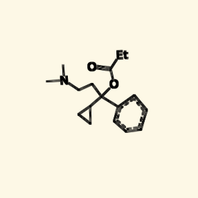 CCC(=O)OC(CCN(C)C)(c1ccccc1)C1CC1